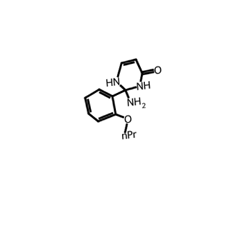 CCCOc1ccccc1C1(N)NC=CC(=O)N1